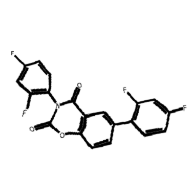 O=c1oc2ccc(-c3ccc(F)cc3F)cc2c(=O)n1-c1ccc(F)cc1F